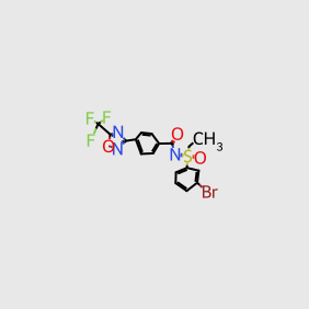 CCS(=O)(=NC(=O)c1ccc(-c2noc(C(F)(F)F)n2)cc1)c1cccc(Br)c1